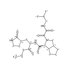 O=C(NCC(F)F)C(=O)N1CC2CCCC2[C@H]1C(=O)NC(CC1CCNC1=O)C(=O)COC(F)(F)F